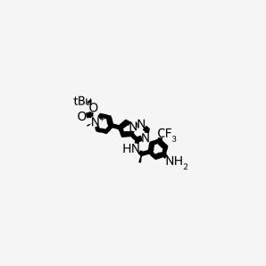 C[C@@H](Nc1ncnn2cc(C3=CC[N@+](C)(C(=O)OC(C)(C)C)CC3)cc12)c1cc(N)cc(C(F)(F)F)c1